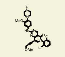 COCC#Cc1cn(-c2c(Cl)cccc2Cl)c(=O)c2cnc(Nc3ccc(N4CCNCC4)c(OC)c3)nc12